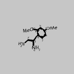 COc1ccc(C(N)CN)c(OC)c1